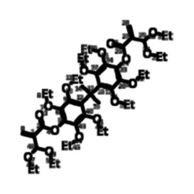 C=C(C(=O)Oc1c(OCC)c(OCC)c(C(C)(C)c2c(OCC)c(OCC)c(OC(=O)C(=C)C(OCC)OCC)c(OCC)c2OCC)c(OCC)c1OCC)C(OCC)OCC